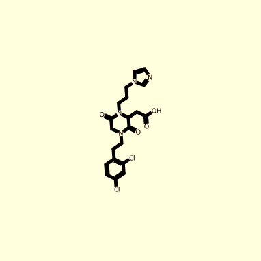 O=C(O)CC1C(=O)N(CCc2ccc(Cl)cc2Cl)CC(=O)N1CCCn1ccnc1